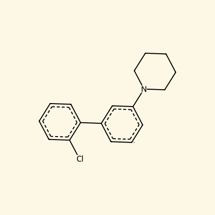 Clc1ccccc1-c1c[c]cc(N2CCCCC2)c1